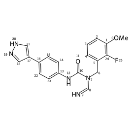 COc1cccc(CN(C=N)C(=O)Nc2ccc(-c3cn[nH]c3)cc2)c1F